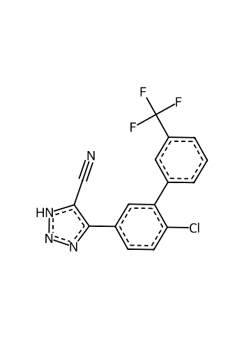 N#Cc1[nH]nnc1-c1ccc(Cl)c(-c2cccc(C(F)(F)F)c2)c1